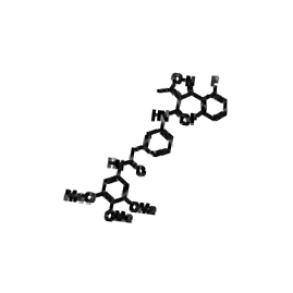 COc1cc(NC(=O)Cc2cccc(NC(=O)c3c(-c4c(F)cccc4F)noc3C)c2)cc(OC)c1OC